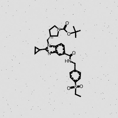 CCS(=O)(=O)c1ccc(CNC(=O)c2ccc3c(c2)nc(C2CC2)n3C[C@H]2CCN(C(=O)OC(C)(C)C)C2)cc1